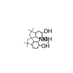 CC1(C)CC2(CC(C)(C)c3ccc(O)c(N)c32)c2cc(O)c(O)cc21